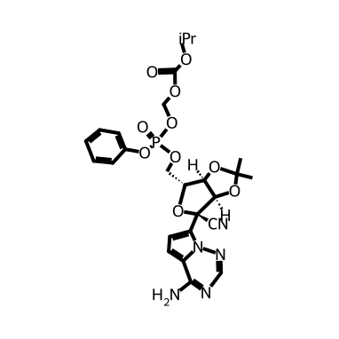 CC(C)OC(=O)OCOP(=O)(OC[C@H]1O[C@@](C#N)(c2ccc3c(N)ncnn23)[C@@H]2OC(C)(C)O[C@@H]21)Oc1ccccc1